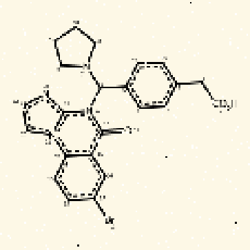 O=C(O)Cc1ccc(C(N2CCCC2)n2c(=O)c3cc(Br)ccc3n3cnnc23)cc1